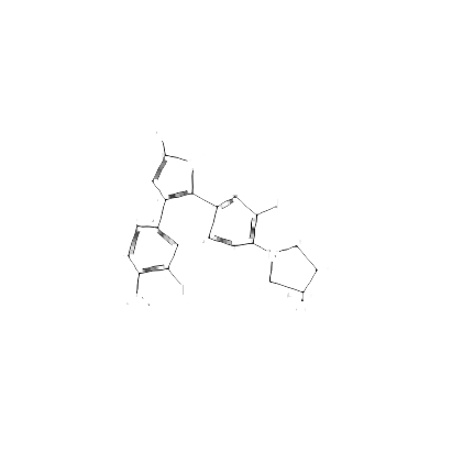 Cc1cc(-c2ccc(C#N)c(F)c2)c(-c2ccc(N3CC[C@@H](O)C3)c(F)c2)s1